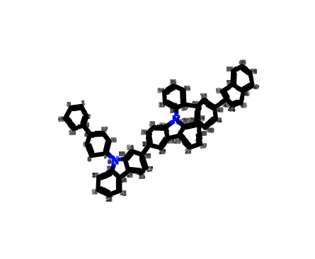 c1ccc(-c2ccc(-n3c4ccccc4c4ccc(-c5ccc6c(c5)c5ccccc5n6-c5ccccc5-c5cccc(-c6ccc7ccccc7c6)c5)cc43)cc2)cc1